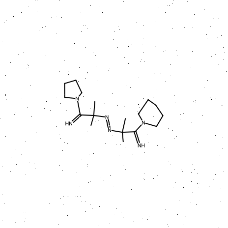 CC(C)(N=NC(C)(C)C(=N)N1CCCC1)C(=N)N1CCCCC1